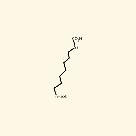 CCCCCCCCCCCCCC[Se]C(=O)O